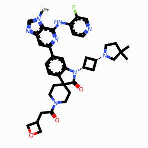 CC(C)n1cnc2cc(-c3ccc4c(c3)N([C@H]3C[C@@H](N5CCC(C)(C)C5)C3)C(=O)C43CCN(C(=O)CC4COC4)CC3)nc(Nc3ccncc3F)c21